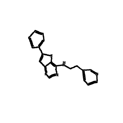 c1ccc(-c2cc3ncnc(NCCc4cccnc4)c3s2)cc1